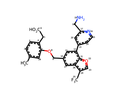 Cc1ccc(CC(=O)O)c(OCc2cc(-c3ccnc(CN)c3)c3occ(C(F)(F)F)c3c2)c1